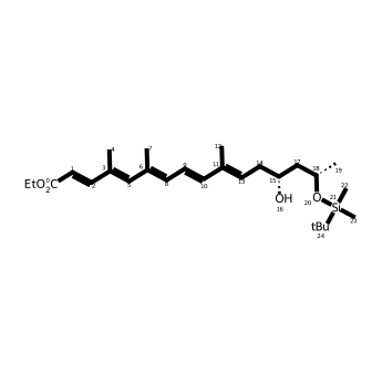 CCOC(=O)/C=C/C(C)=C/C(C)=C/C=C/C(C)=C/C[C@@H](O)C[C@H](C)O[Si](C)(C)C(C)(C)C